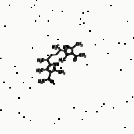 CC(=O)c1c(C)[nH]c(C(C)CCC(C)c2[nH]c(C)c(C(C)=O)c2C)c1C